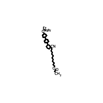 C=CC(=O)OCCCCCCCCCCCC1(C#N)CCCC(c2ccc(-c3ccc(OC(CC)CCC)cc3)cc2)C1